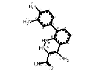 NC(=O)C1=C(N)c2cccc(-c3ccc(N)c(N)c3)c2NN1